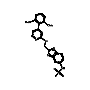 COc1cccc(OC)c1-c1cnnc(NCc2nc3cc(NS(C)(=O)=O)ccc3s2)n1